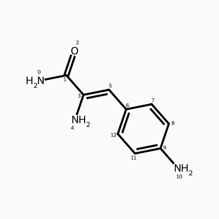 NC(=O)/C(N)=C/c1ccc(N)cc1